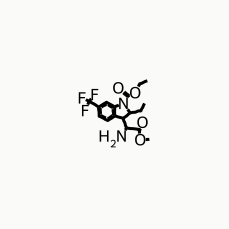 CCOC(=O)N1c2cc(C(F)(F)F)ccc2C(C(N)C(=O)OC)C1CC